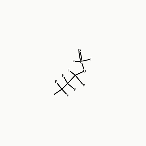 CC(F)(F)C(F)(F)C(F)(F)OP(=O)(F)F